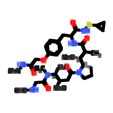 CCC(C)[C@@H](C(CC(=O)N1CCC[C@H]1[C@H](OC)C(C)C(=O)NC(Cc1ccc(OCC(=O)NNC)cc1)C(=O)NSC1CC1)OC)N(C)C(=O)CNC=O